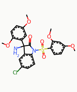 COc1ccc(S(=O)(=O)N2C(=O)C(N)(c3cc(OC)ccc3OC)c3cc(Cl)ccc32)c(OC)c1